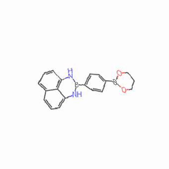 c1cc2c3c(cccc3c1)NB(c1ccc(B3OCCCO3)cc1)N2